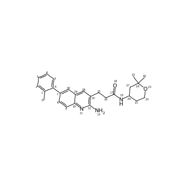 Cc1ccccc1-c1ccc2nc(N)c(CCC(=O)NC3CCOC(C)(C)C3)cc2c1